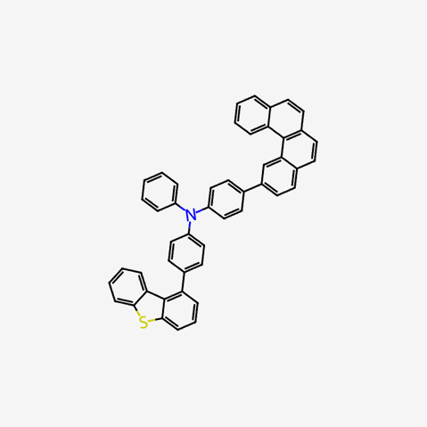 c1ccc(N(c2ccc(-c3ccc4ccc5ccc6ccccc6c5c4c3)cc2)c2ccc(-c3cccc4sc5ccccc5c34)cc2)cc1